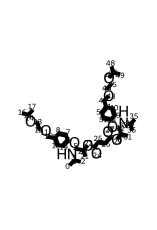 CC(C)NC(Oc1ccc(COCCOC(C)C)cc1)C(C)OC(=O)/C=C/C(=O)OC(C)C(NC(C)C)Oc1ccc(COCCOC(C)C)cc1